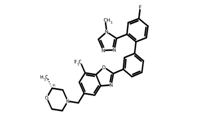 C[C@@H]1CN(Cc2cc(C(F)(F)F)c3oc(-c4cccc(-c5ccc(F)cc5-c5nncn5C)c4)nc3c2)CCO1